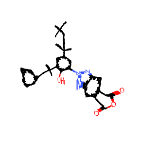 CC(C)(C)CC(C)(C)c1cc(-n2nc3cc4c(cc3n2)C(=O)OC4=O)c(O)c(C(C)(C)c2ccccc2)c1